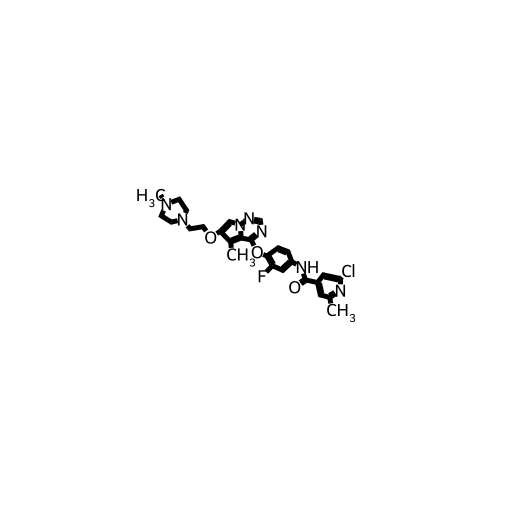 Cc1cc(C(=O)Nc2ccc(Oc3ncnn4cc(OCCN5CCN(C)CC5)c(C)c34)c(F)c2)cc(Cl)n1